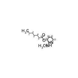 CCCCCCC(=O)Oc1cccnc1NC